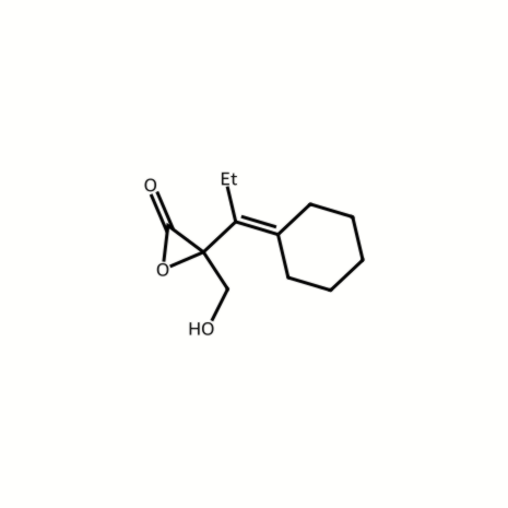 CCC(=C1CCCCC1)C1(CO)OC1=O